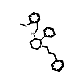 COc1ccccc1CN[C@@H]1CCCN(CCCc2ccccc2)[C@@H]1c1ccccc1